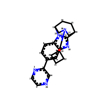 c1cnc(-c2ccc3c(c2)nc2n3C3CCC2CN(C2CCC2)C3)cn1